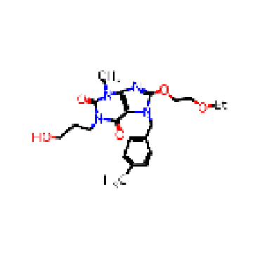 CCOCCOc1nc2c(c(=O)n(CCCO)c(=O)n2C)n1Cc1ccc(C)cc1